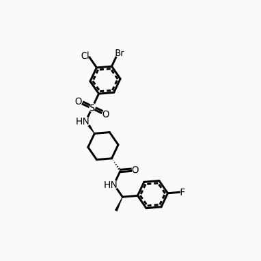 C[C@@H](NC(=O)[C@H]1CC[C@H](NS(=O)(=O)c2ccc(Br)c(Cl)c2)CC1)c1ccc(F)cc1